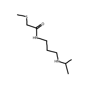 CSCC(=O)NCCCNC(C)C